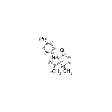 Cc1nn(-c2ccc(C(C)C)cc2)c2c1C(C)CCC2=O